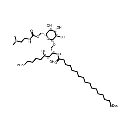 CCCCCCCCCCCCCCCCCCCCCCCCCC(=O)N[C@@H](CO[C@@H]1O[C@H](COC(=O)NCCN(C)C)[C@H](O)[C@H](O)[C@H]1O)[C@H](O)[C@H](O)CCCCCCCCCCCCCC